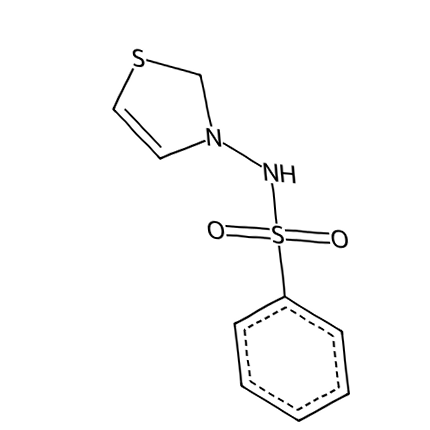 O=S(=O)(NN1C=CSC1)c1ccccc1